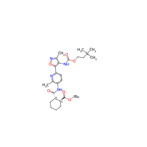 Cc1nc(-c2onc(C)c2NC(=O)OCC[Si](C)(C)C)ccc1NC(=O)[C@H]1CCCC[C@@H]1C(=O)OC(C)(C)C